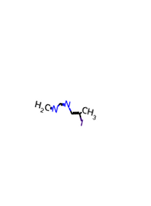 C=N/C=N\C=C(/C)I